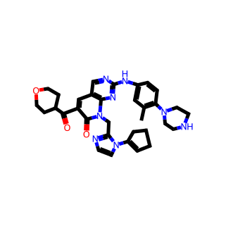 Cc1cc(Nc2ncc3cc(C(=O)C4CCOCC4)c(=O)n(Cc4nccn4C4=CCCC4)c3n2)ccc1N1CCNCC1